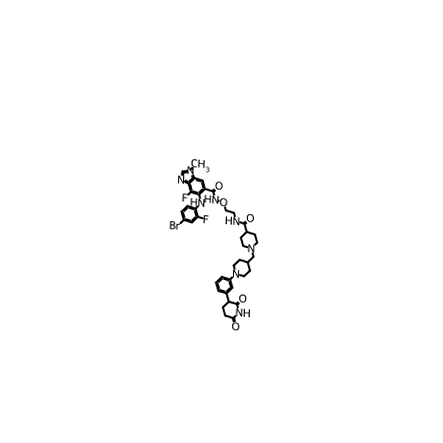 Cn1cnc2c(F)c(Nc3ccc(Br)cc3F)c(C(=O)NOCCNC(=O)C3CCN(CC4CCN(c5cccc(C6CCC(=O)NC6=O)c5)CC4)CC3)cc21